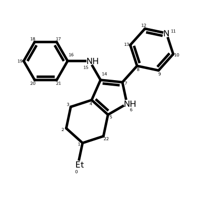 CCC1CCc2c([nH]c(-c3ccncc3)c2Nc2ccccc2)C1